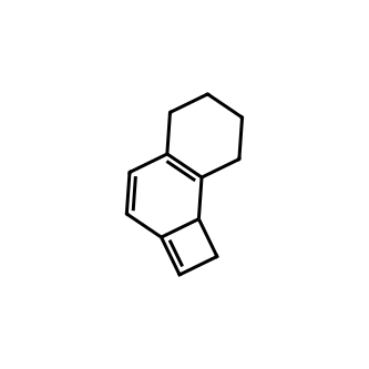 C1=CC2=C(CCCC2)C2CC=C12